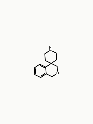 c1ccc2c(c1)COCC21CCNCC1